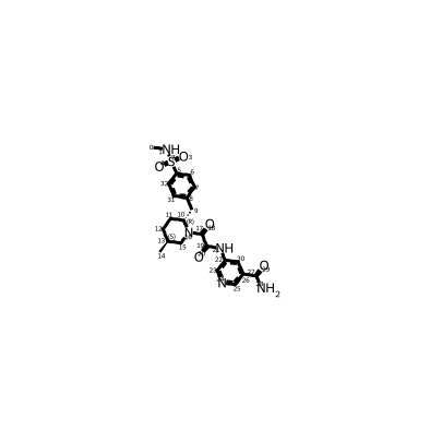 CNS(=O)(=O)c1ccc(C[C@H]2CC[C@H](C)CN2C(=O)C(=O)Nc2cncc(C(N)=O)c2)cc1